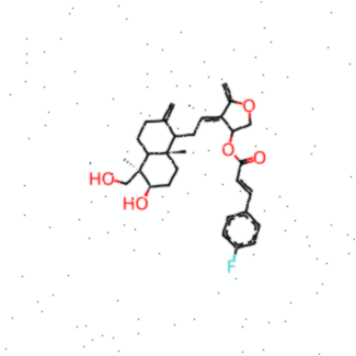 C=C1OCC(OC(=O)/C=C/c2ccc(F)cc2)/C1=C\CC1C(=C)CCC2[C@@]1(C)CC[C@@H](O)[C@@]2(C)CO